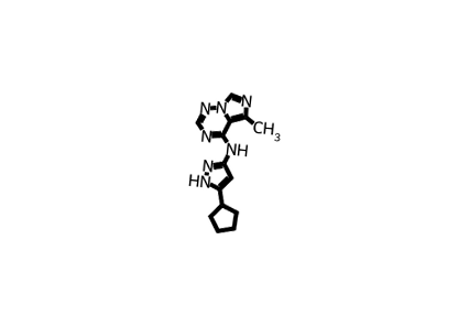 Cc1ncn2ncnc(Nc3cc(C4CCCC4)[nH]n3)c12